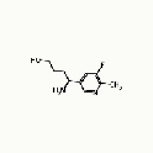 Cc1ncc([C@@H](N)CCCO)cc1F